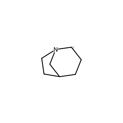 [C]1CCC2CCN1C2